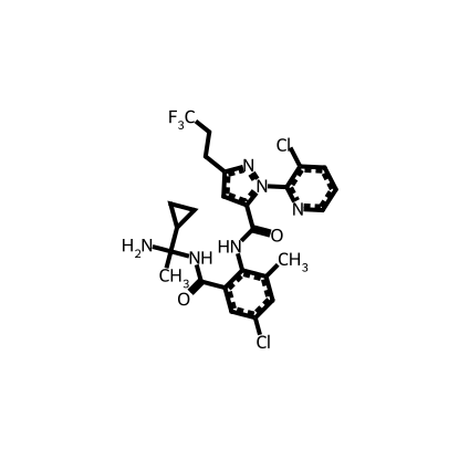 Cc1cc(Cl)cc(C(=O)NC(C)(N)C2CC2)c1NC(=O)c1cc(CCC(F)(F)F)nn1-c1ncccc1Cl